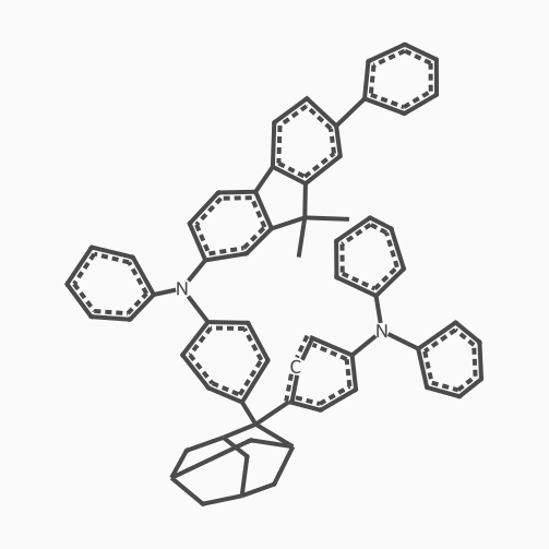 CC1(C)c2cc(-c3ccccc3)ccc2-c2ccc(N(c3ccccc3)c3ccc(C4(c5ccc(N(c6ccccc6)c6ccccc6)cc5)C5CC6CC(C5)CC4C6)cc3)cc21